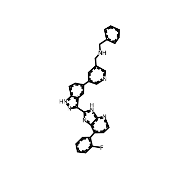 Fc1ccccc1-c1ccnc2[nH]c(-c3n[nH]c4ccc(-c5cncc(CNCc6ccccc6)c5)cc34)nc12